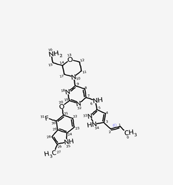 C/C=C/c1cc(Nc2cc(N3CCOC(CN)C3)nc(Oc3ccc4[nH]c(C)cc4c3F)n2)n[nH]1